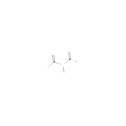 N=C(N)N(C(=N)N)C(=O)O